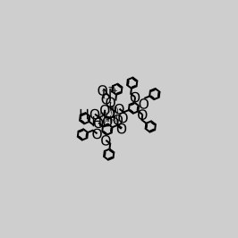 O=C(O[C@H]1[C@H](OCc2ccccc2[N+](=O)[O-])O[C@H](CO)[C@@H](O)[C@@H]1OC(=O)c1cc(OCc2ccccc2)c(OCc2ccccc2)c(OCc2ccccc2)c1)c1cc(OCc2ccccc2)c(OCc2ccccc2)c(OCc2ccccc2)c1